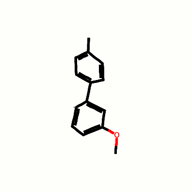 COc1cc[c]c(-c2ccc(C)cc2)c1